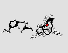 CCCSc1cccc(NC(=O)CC[C@H]2O[C@@H]3O[C@]4(C)CC[C@H]5[C@H](C)CC[C@@H]([C@H]2C)[C@@]35OO4)c1